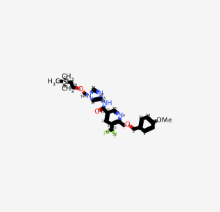 COc1ccc(COCc2ncc(C(=O)Nc3cn(COCC[Si](C)(C)C)cn3)cc2C(F)F)cc1